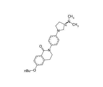 CCCCOc1ccc2c(c1)CCN(c1ccc(N3CC[C@@H](N(C)C)C3)cc1)C2=O